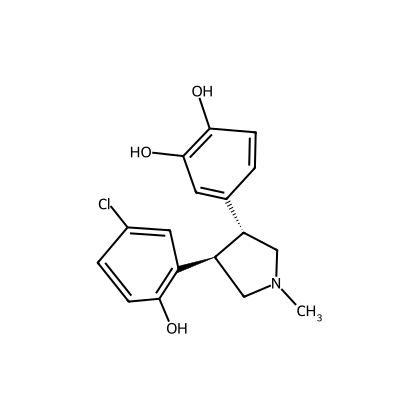 CN1C[C@@H](c2ccc(O)c(O)c2)[C@H](c2cc(Cl)ccc2O)C1